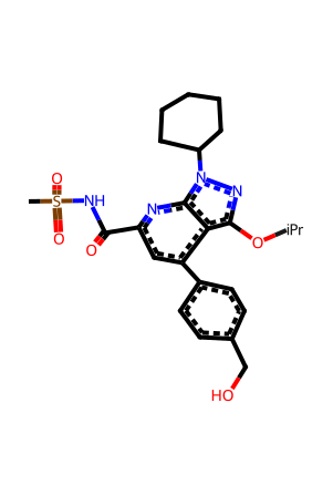 CC(C)Oc1nn(C2CCCCC2)c2nc(C(=O)NS(C)(=O)=O)cc(-c3ccc(CO)cc3)c12